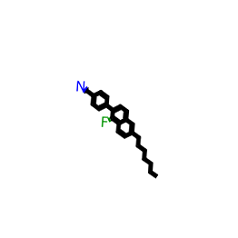 CCCCCCCc1ccc2c(F)c(-c3ccc(C#N)cc3)ccc2c1